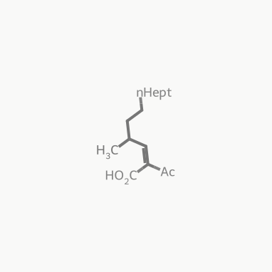 CCCCCCCCCC(C)C=C(C(C)=O)C(=O)O